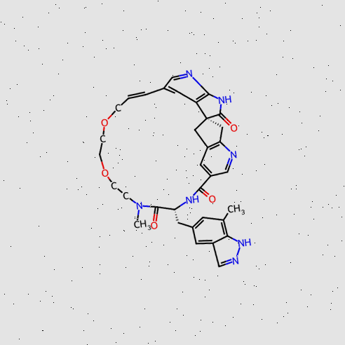 Cc1cc(C[C@H]2NC(=O)c3cnc4c(c3)C[C@]3(C4)C(=O)Nc4ncc(cc43)/C=C/COCCOCCN(C)C2=O)cc2cn[nH]c12